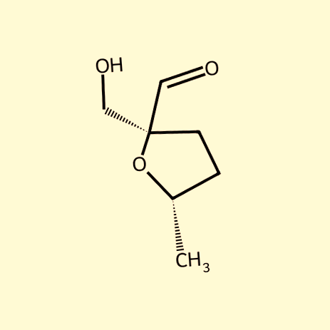 C[C@H]1CC[C@@](C=O)(CO)O1